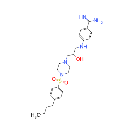 CCCCc1ccc(S(=O)(=O)N2CCN(CC(O)CNc3ccc(C(=N)N)cc3)CC2)cc1